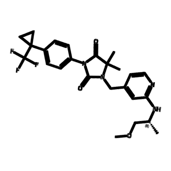 COC[C@@H](C)Nc1cc(CN2C(=O)N(c3ccc(C4(C(F)(F)F)CC4)cc3)C(=O)C2(C)C)ccn1